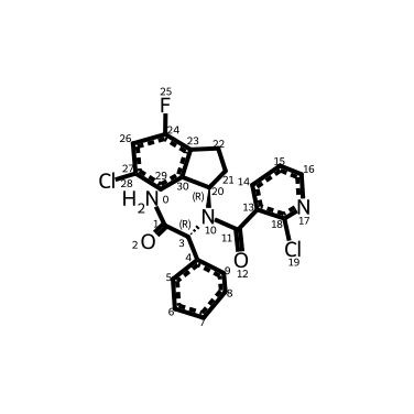 NC(=O)[C@@H](c1ccccc1)N(C(=O)c1cccnc1Cl)[C@@H]1CCc2c(F)cc(Cl)cc21